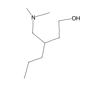 CCCC(CCO)CN(C)C